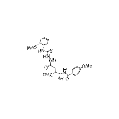 COc1ccc(C(=O)NC(S)C(C=O)CC(=O)NNC(=S)Nc2ccccc2SC)cc1